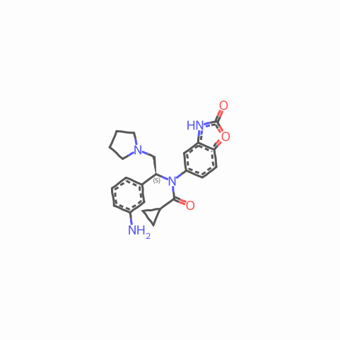 Nc1cccc([C@@H](CN2CCCC2)N(C(=O)C2CC2)c2ccc3oc(=O)[nH]c3c2)c1